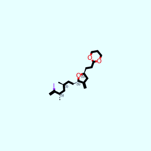 C=C1C[C@H](CCC2OCCCO2)O[C@H]1CC[C@H](C)C[C@H](C)C(=C)I